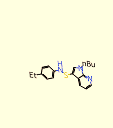 CCCCn1cc(SNc2ccc(CC)cc2)c2cccnc21